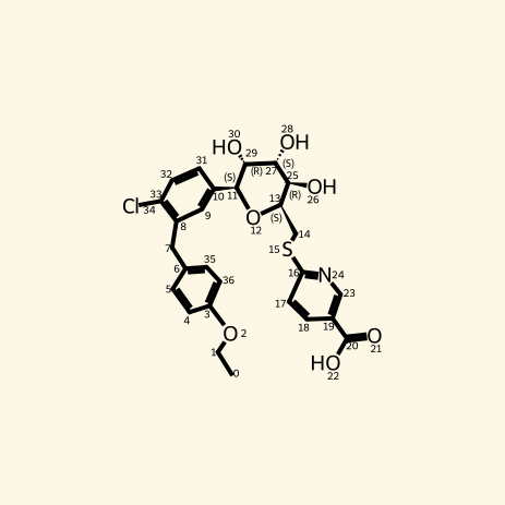 CCOc1ccc(Cc2cc([C@@H]3O[C@H](CSc4ccc(C(=O)O)cn4)[C@H](O)[C@@H](O)[C@H]3O)ccc2Cl)cc1